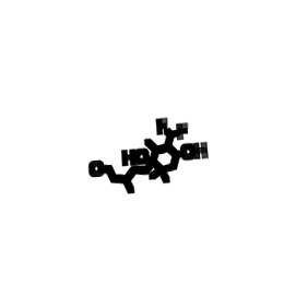 CC1=C(C(F)F)C(O)CC(C)(C)C1(O)/C=C/C(C)=C\C=O